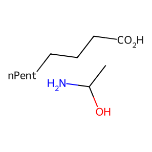 CC(N)O.CCCCCCCCC(=O)O